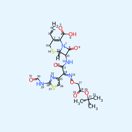 C=CC1=C(C(=O)O)N2C(=O)C(NC(=O)C(=NOCC(=O)OC(C)(C)C)c3csc(NC=O)n3)[C@@H]2SC1